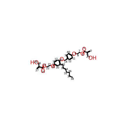 C=C(CO)C(=O)OCCOc1ccc(COc2ccc(OCCOC(=O)C(=C)CO)cc2CCCCCCC)cc1